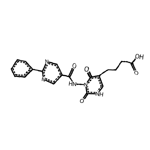 O=C(O)CCCc1c[nH]c(=O)n(NC(=O)c2cnc(-c3ccccc3)nc2)c1=O